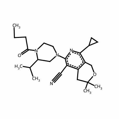 CCCC(=O)N1CCN(c2nc(C3CC3)c3c(c2C#N)CC(C)(C)OC3)CC1C(C)C